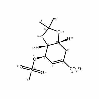 CCOC(=O)C1=C[C@@H](OS(C)(=O)=O)[C@@H]2OC(C)(C)O[C@@H]2C1